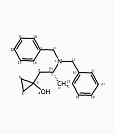 C[C@H](CC1(O)CC1)N(Cc1ccccc1)Cc1ccccc1